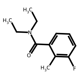 CCN(CC)C(=O)c1cccc(F)c1C